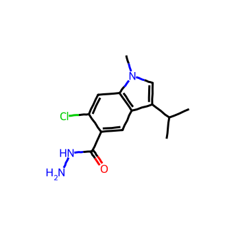 CC(C)c1cn(C)c2cc(Cl)c(C(=O)NN)cc12